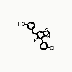 Oc1cccc(Cc2cc3scnc3c(-c3cccc(Cl)c3)c2F)c1